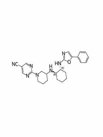 N#Cc1cnc(N2CCCC(N[C@@H]3CCCC[C@H]3Nc3ncc(-c4ccccc4)o3)C2)nc1